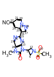 Cn1c(=O)n(C2CN(S(C)(=O)=O)C2)c2nc(-c3cnn4ccc(C#N)cc34)ncc21